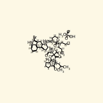 CC(C)C[C@H]1C(=O)N2CCC[C@H]2[C@]2(O)O[C@](NC(=O)[C@@H]3C=C4c5cccc6[nH]c(Br)c(c56)C[C@H]4N(C)C3)(C(C)C)C(=O)N12.CS(=O)(=O)O.O=P1(N(CCCl)CCCl)NCCCO1